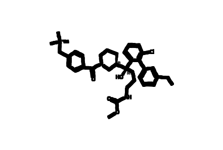 CCc1cccc(-c2c(Cl)cccc2[C@](O)(CCCNC(=O)OC)[C@@H]2CCCN(C(=O)c3ccc(C[N+](C)(C)C)cc3)C2)c1